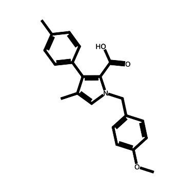 COc1ccc(Cn2cc(C)c(-c3ccc(C)cc3)c2C(=O)O)cc1